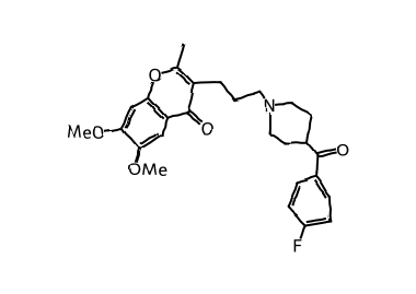 COc1cc2oc(C)c(CCCN3CCC(C(=O)c4ccc(F)cc4)CC3)c(=O)c2cc1OC